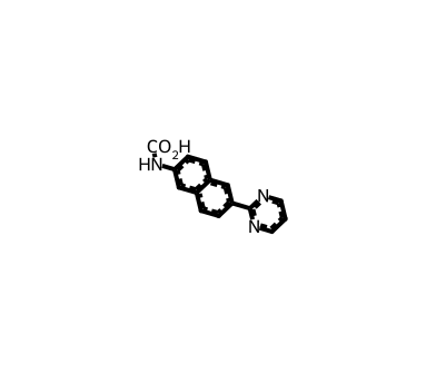 O=C(O)Nc1ccc2cc(-c3ncccn3)ccc2c1